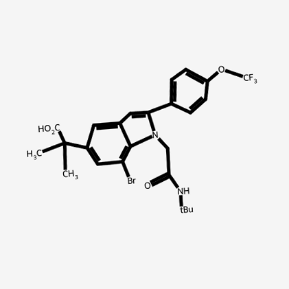 CC(C)(C)NC(=O)Cn1c(-c2ccc(OC(F)(F)F)cc2)cc2cc(C(C)(C)C(=O)O)cc(Br)c21